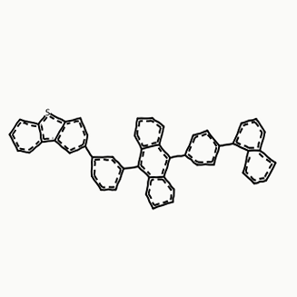 c1cc(-c2ccc3sc4ccccc4c3c2)cc(-c2c3ccccc3c(-c3ccc(-c4cccc5ccccc45)cc3)c3ccccc23)c1